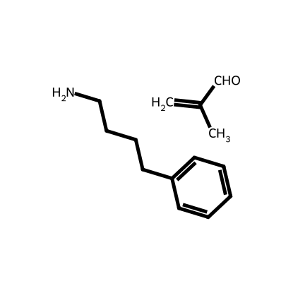 C=C(C)C=O.NCCCCc1ccccc1